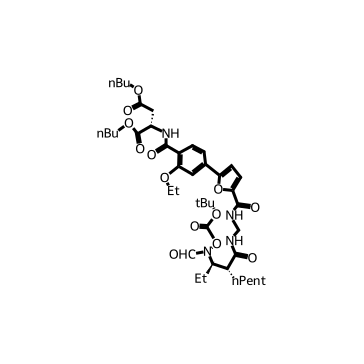 CCCCC[C@@H](C(=O)NCNC(=O)c1ccc(-c2ccc(C(=O)N[C@@H](CC(=O)OCCCC)C(=O)OCCCC)c(OCC)c2)o1)[C@@H](CC)N(C=O)OC(=O)OC(C)(C)C